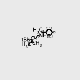 C[C@@H](NCCO[Si](C)(C)C(C)(C)C)c1ccccc1